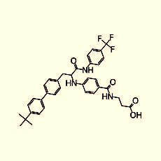 CC(C)(C)c1ccc(-c2ccc(CC(Nc3ccc(C(=O)NCCC(=O)O)cc3)C(=O)Nc3ccc(C(F)(F)F)cc3)cc2)cc1